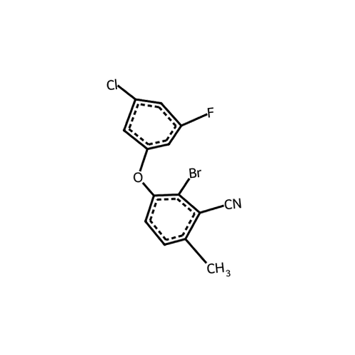 Cc1ccc(Oc2cc(F)cc(Cl)c2)c(Br)c1C#N